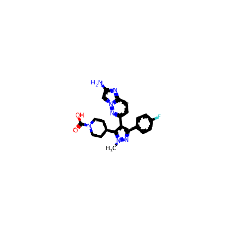 Cn1nc(-c2ccc(F)cc2)c(-c2ccc3nc(N)cn3n2)c1C1CCN(C(=O)O)CC1